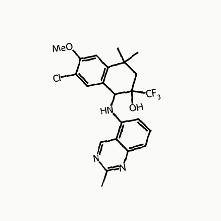 COc1cc2c(cc1Cl)C(Nc1cccc3nc(C)ncc13)C(O)(C(F)(F)F)CC2(C)C